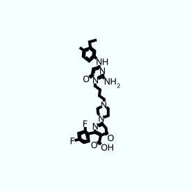 CCc1cc(Nc2cc(=O)n(CCCCN3CCN(C4=NC(c5ccc(F)cc5F)=C(C(=O)O)C(=O)C4)CC3)c(N)n2)ccc1C